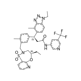 CC[C@@H]1CN(Cc2cc([C@H](CC(=O)Nc3cncc(C(F)(F)F)c3)c3ccc4c(nnn4CC)c3C)ccc2C)S(=O)(=O)c2cccnc2O1